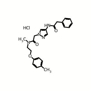 Cc1ccc(OCCN(C)C(=O)Cn2cc(NC(=O)Cc3ccccc3)cn2)cc1.Cl